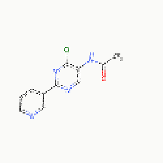 O=C(Nc1cnc(-c2cccnc2)nc1Cl)C(F)(F)F